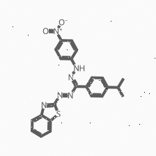 CC(C)c1ccc(C(N=Nc2nc3ccccc3s2)=NNc2ccc([N+](=O)[O-])cc2)cc1